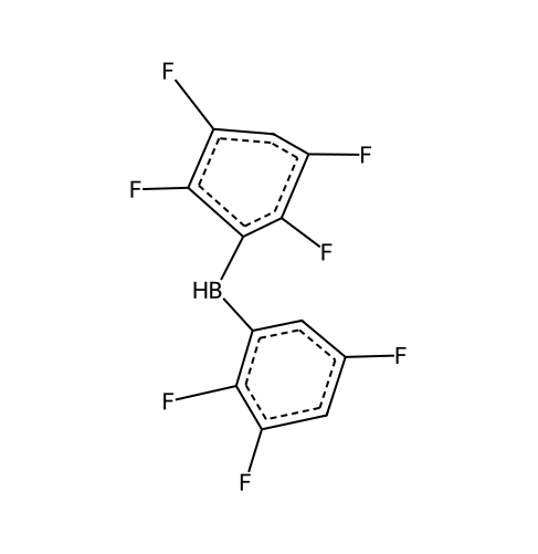 Fc1cc(F)c(F)c(Bc2c(F)c(F)cc(F)c2F)c1